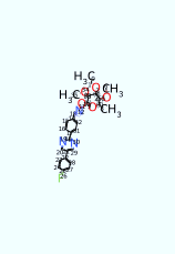 CCO[C@@H]1[C@@H](OC)[C@H](C)O[C@@H](O/N=C/c2ccc(-c3ncc(-c4ccc(F)cc4)cn3)cc2)[C@@H]1OC